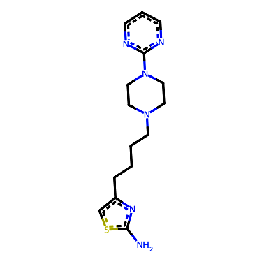 Nc1nc(CCCCN2CCN(c3ncccn3)CC2)cs1